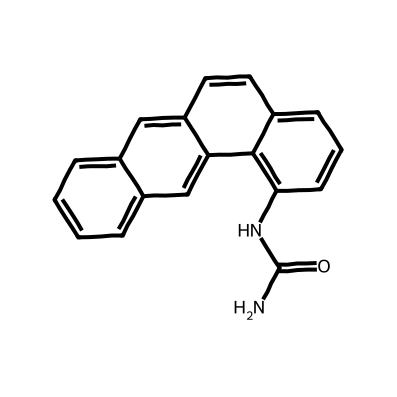 NC(=O)Nc1cccc2ccc3cc4ccccc4cc3c12